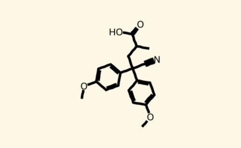 COc1ccc(C(C#N)(CC(C)C(=O)O)c2ccc(OC)cc2)cc1